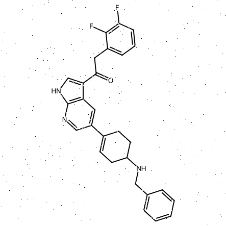 O=C(Cc1cccc(F)c1F)c1c[nH]c2ncc(C3=CCC(NCc4ccccc4)CC3)cc12